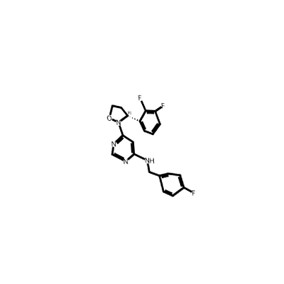 Fc1ccc(CNc2cc(N3OCC[C@@H]3c3cccc(F)c3F)ncn2)cc1